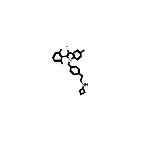 Cc1ccc2c(c1)c(F)c(-c1c(C)cccc1C)n2Cc1ccc(CCNC2CCC2)cc1